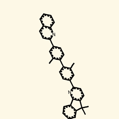 Cc1cc(-c2ccc3c(n2)-c2ccccc2C3(C)C)ccc1-c1ccc(-c2ccc3ccccc3n2)cc1C